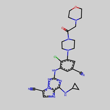 N#Cc1cc(Nc2nc(NC3CC3)c3ncc(C#N)n3n2)c(Cl)c(N2CCN(C(=O)CN3CCOCC3)CC2)c1